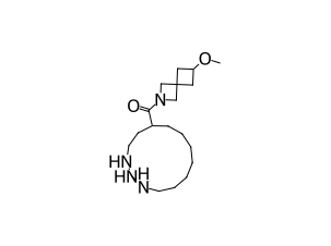 COC1CC2(C1)CN(C(=O)C1CCCCCCCNNNCC1)C2